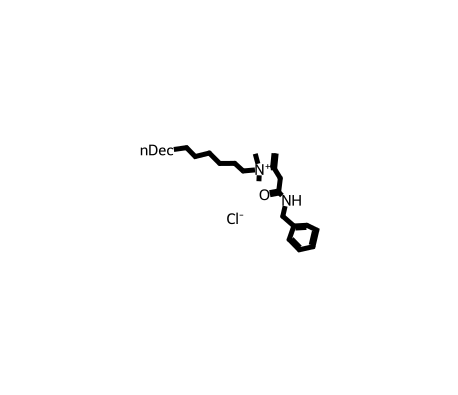 C=C(CC(=O)NCc1ccccc1)[N+](C)(C)CCCCCCCCCCCCCCCC.[Cl-]